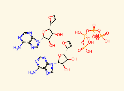 Nc1ncnc2c1ncn2[C@@H]1O[C@H](C2C=CO2)[C@@H](O)[C@H]1O.Nc1ncnc2c1ncn2[C@@H]1O[C@H](C2C=CO2)[C@@H](O)[C@H]1O.O=P(O)(O)OP(=O)(O)OP(=O)(O)OP(=O)(O)O